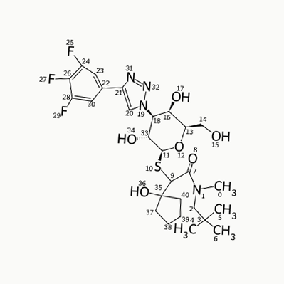 CN(CC(C)(C)C)C(=O)C(S[C@@H]1O[C@H](CO)[C@H](O)[C@H](n2cc(-c3cc(F)c(F)c(F)c3)nn2)[C@H]1O)C1(O)CCCC1